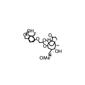 CO/N=C/[C@@]1(C)C[C@@H](OC(=O)COc2ccc3c(c2F)B(O)OC3)[C@]2(C)[C@@H]3C(=O)CC[C@@]3(CC[C@@H]2C)[C@@H](C)[C@@H]1O